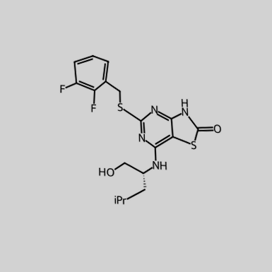 CC(C)C[C@H](CO)Nc1nc(SCc2cccc(F)c2F)nc2[nH]c(=O)sc12